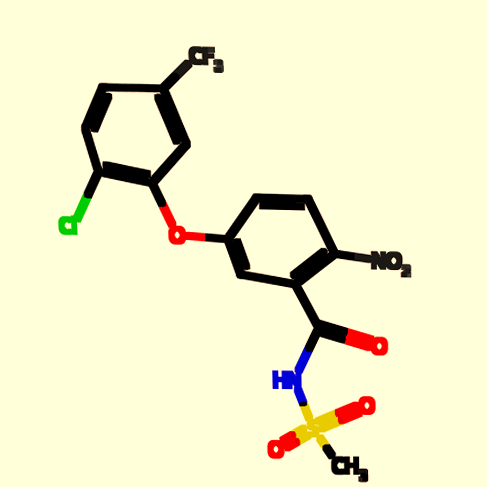 CS(=O)(=O)NC(=O)c1cc(Oc2cc(C(F)(F)F)ccc2Cl)ccc1[N+](=O)[O-]